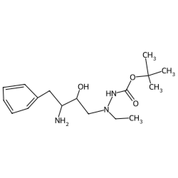 CCN(CC(O)C(N)Cc1ccccc1)NC(=O)OC(C)(C)C